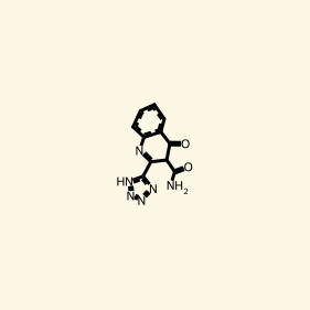 NC(=O)C1C(=O)c2ccccc2N=C1c1nnn[nH]1